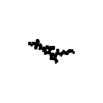 COCCNC1C(F)C[C@H]1N1C[C@H](COS(C)(=O)=O)OC1=O